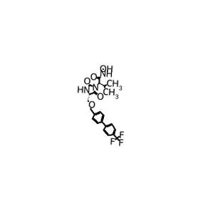 CC(C)[C@H](C(=O)NO)N1C(=O)N[C@@H](COCc2ccc(-c3ccc(C(F)(F)F)cc3)cc2)C1=O